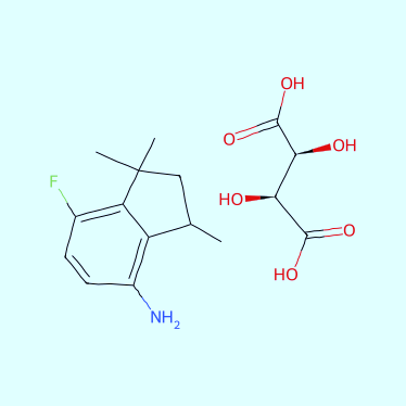 CC1CC(C)(C)c2c(F)ccc(N)c21.O=C(O)[C@@H](O)[C@H](O)C(=O)O